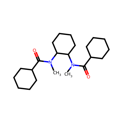 CN(C(=O)C1CCCCC1)C1CCCCC1N(C)C(=O)C1CCCCC1